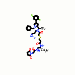 CC(C)(C)[C@H](c1cc(-c2cc(F)ccc2F)cn1Cc1ccccc1)N(CCCN)C(=O)CSCCC(=O)N[C@H](CNC(=O)CN1C(=O)C=CC1=O)C(=O)O